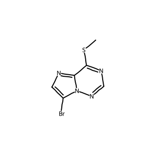 CSc1ncnn2c(Br)cnc12